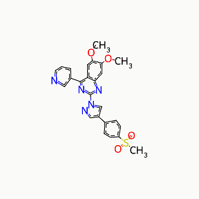 COc1cc2nc(-n3cc(-c4ccc(S(C)(=O)=O)cc4)cn3)nc(-c3cccnc3)c2cc1OC